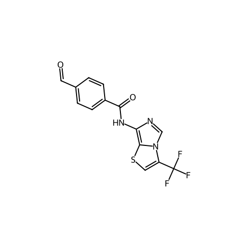 O=Cc1ccc(C(=O)Nc2ncn3c(C(F)(F)F)csc23)cc1